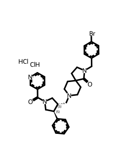 Cl.Cl.O=C(c1cccnc1)N1C[C@H](CN2CCC3(CC2)CCN(Cc2ccc(Br)cc2)C3=O)[C@@H](c2ccccc2)C1